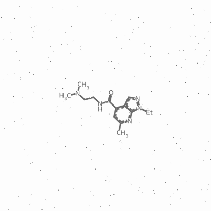 CCn1ncc2c(C(=O)NCCN(C)C)cc(C)nc21